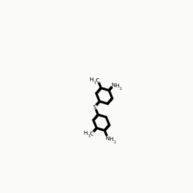 CC1CC(SC2CCC(N)C(C)C2)CCC1N